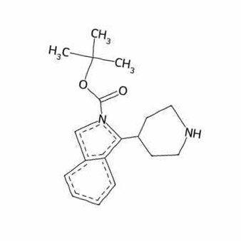 CC(C)(C)OC(=O)n1cc2ccccc2c1C1CCNCC1